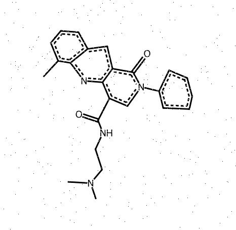 Cc1cccc2cc3c(=O)n(-c4ccccc4)cc(C(=O)NCCN(C)C)c3nc12